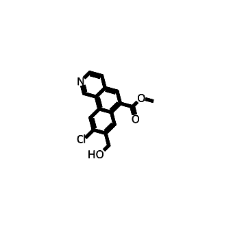 COC(=O)c1cc2ccncc2c2cc(Cl)c(CO)cc12